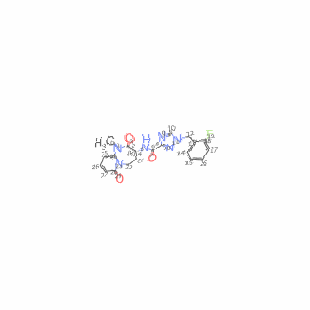 CN1C(=O)[C@H](NC(=O)c2ncn(Cc3ccccc3F)n2)CCn2c1cccc2=O